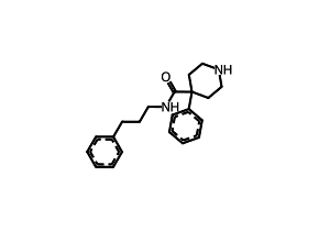 O=C(NCCCc1ccccc1)C1(c2ccccc2)CCNCC1